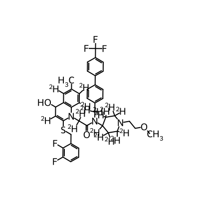 [2H]C1=C(SCc2cccc(F)c2F)N(C([2H])([2H])C(=O)N(C([2H])([2H])c2ccc(-c3ccc(C(F)(F)F)cc3)cc2)C2([2H])C([2H])([2H])C([2H])([2H])N(CCOC)C([2H])([2H])C2([2H])[2H])c2c([2H])c([2H])c(C)c([2H])c2C1O